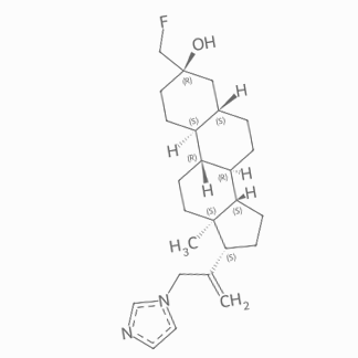 C=C(Cn1ccnc1)[C@H]1CC[C@H]2[C@@H]3CC[C@H]4C[C@@](O)(CF)CC[C@@H]4[C@H]3CC[C@]12C